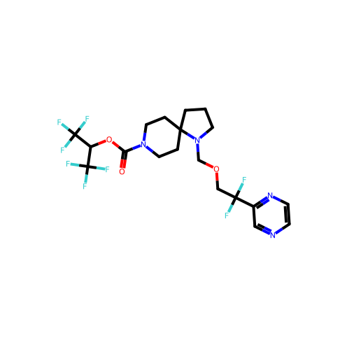 O=C(OC(C(F)(F)F)C(F)(F)F)N1CCC2(CCCN2COCC(F)(F)c2cnccn2)CC1